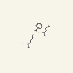 COc1ccccc1C(=O)O.NC(CCC(=O)O)C(=O)O.NCCCCC(N)C(=O)O